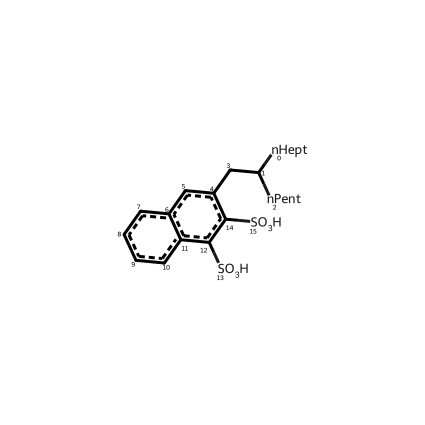 CCCCCCCC(CCCCC)Cc1cc2ccccc2c(S(=O)(=O)O)c1S(=O)(=O)O